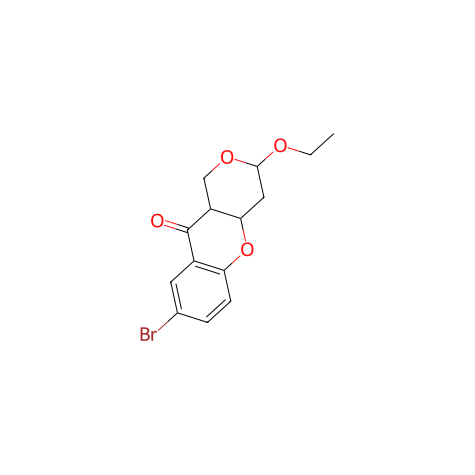 CCOC1CC2Oc3ccc(Br)cc3C(=O)C2CO1